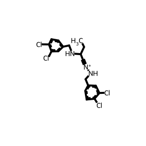 CCC(C#[N+]NCc1ccc(Cl)c(Cl)c1)NCc1ccc(Cl)c(Cl)c1